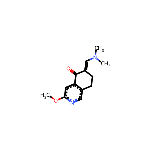 COc1cc2c(cn1)CCC(=CN(C)C)C2=O